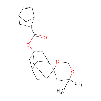 CC1(C)CC2(OCO1)C1CC3CC2CC(OC(=O)C2CC4C=CC2C4)(C3)C1